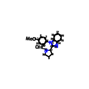 COc1ccc(-n2c(C3CCCN3C=O)nc3ccccc32)cc1